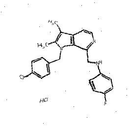 Cc1c(C)n(Cc2ccc(Cl)cc2)c2c(CNc3ccc(F)cc3)nccc12.Cl